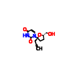 C#CC[C@]1(n2ccc(=O)[nH]c2=O)CC[C@@H](CO)O1